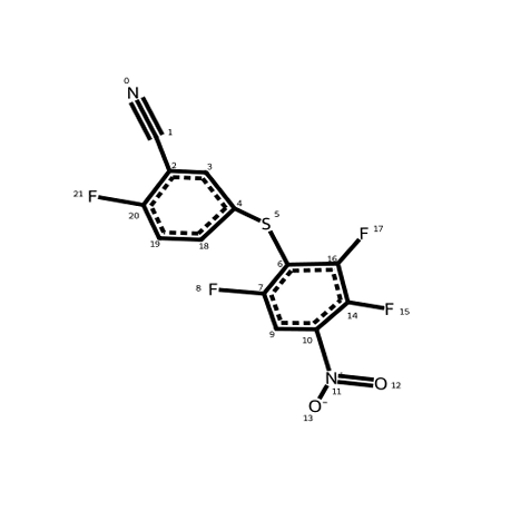 N#Cc1cc(Sc2c(F)cc([N+](=O)[O-])c(F)c2F)ccc1F